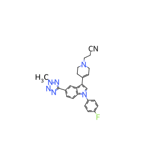 Cn1nnc(-c2ccc3c(c2)c(C2=CCN(CCC#N)CC2)cn3-c2ccc(F)cc2)n1